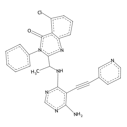 CC(Nc1ncnc(N)c1C#Cc1cccnc1)c1nc2cccc(Cl)c2c(=O)n1-c1ccccc1